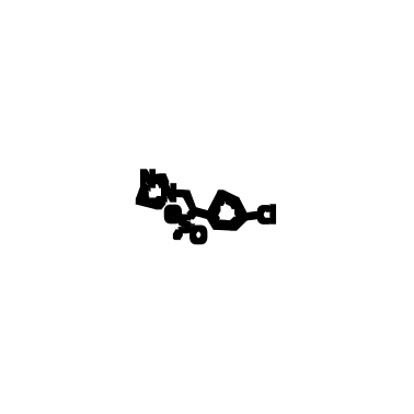 CS(=O)(=O)[C@@H](Cn1ccnc1)c1ccc(Cl)cc1